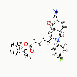 CC(C)(C)OC(=O)CCCCC1C=C2C(=O)C(C#N)C=CC2=CN1c1ccc(F)cc1